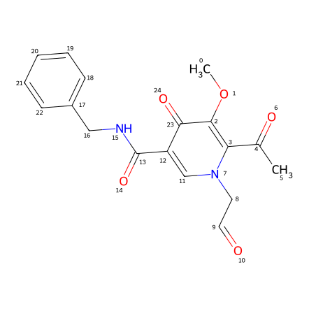 COc1c(C(C)=O)n(CC=O)cc(C(=O)NCc2ccccc2)c1=O